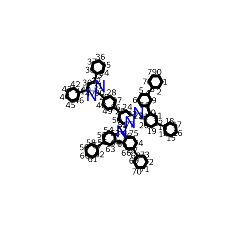 c1ccc(-c2ccc3c(c2)c2cc(-c4ccccc4)ccc2n3-c2cc(-c3ccc(-c4nc(-c5ccccc5)cc(-c5ccccc5)n4)cc3)cc(-n3c4ccc(-c5ccccc5)cc4c4cc(-c5ccccc5)ccc43)n2)cc1